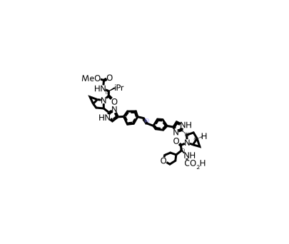 COC(=O)N[C@H](C(=O)N1C(c2nc(-c3ccc(/C=C/c4ccc(-c5c[nH]c([C@@H]6C[C@H]7CC7N6C(=O)[C@@H](NC(=O)O)C6CCOCC6)n5)cc4)cc3)c[nH]2)CC2CC21)C(C)C